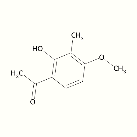 COc1ccc(C(C)=O)c(O)c1C